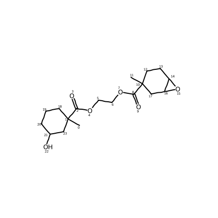 CC1(C(=O)OCCOC(=O)C2(C)CCC3OC3C2)CCCC(O)C1